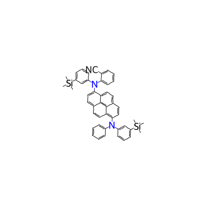 C[Si](C)(C)c1cccc(N(c2ccccc2)c2ccc3ccc4c(N(c5cccc([Si](C)(C)C)c5)c5ccccc5C#N)ccc5ccc2c3c54)c1